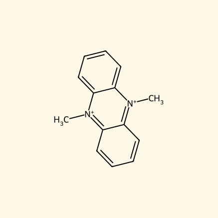 C[n+]1c2ccccc2[n+](C)c2ccccc21